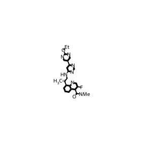 CCOc1ncc(-c2cc(NC[C@@H](C)c3cccc4c(C(=O)NC)c(F)cnc34)ncn2)cn1